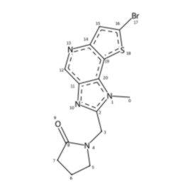 Cn1c(CN2CCCC2=O)nc2cnc3cc(Br)sc3c21